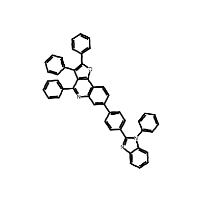 c1ccc(-c2oc3c(c(-c4ccccc4)nc4cc(-c5ccc(-c6nc7ccccc7n6-c6ccccc6)cc5)ccc43)c2-c2ccccc2)cc1